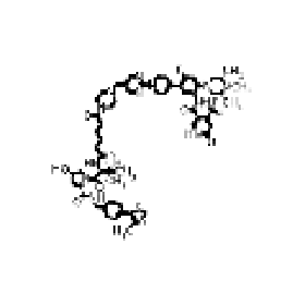 Cc1ncsc1-c1ccc(CNC(=O)[C@@H]2C[C@@H](O)CN2C(=O)[C@@H](NC(=O)CCCCC(=O)N2CCN(Cc3cnc(N4CC=C(c5cc(NC(=O)c6c[nH]c(=O)cc6C(F)(F)F)c(N6C[C@@H](C)N(C)[C@@H](C)C6)cc5F)CC4)nc3)CC2)C(C)(C)C)cc1